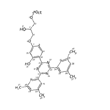 CCCCCCCCOCC(O)COc1ccc(-c2nc(-c3cc(C)cc(C)c3)nc(-c3cc(C)cc(C)c3)n2)c(O)c1